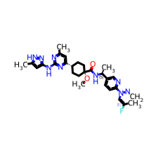 C=NN(/C=C(\C)F)c1ccc([C@H](C)NC(=O)[C@]2(OC)CC[C@@H](c3cc(C)nc(Nc4cc(C)[nH]n4)n3)CC2)cn1